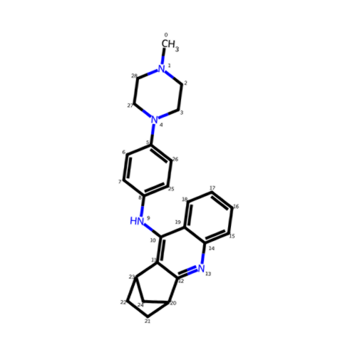 CN1CCN(c2ccc(Nc3c4c(nc5ccccc35)C3CCC4C3)cc2)CC1